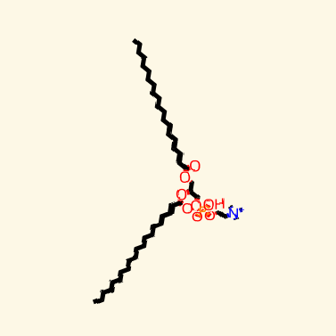 CCCCCCCCCCCCCCCCCC=CC(=O)OCC(COP(=O)(O)OCC[N+](C)(C)C)OC(=O)C=CCCCCCCCCCCCCCCCCC